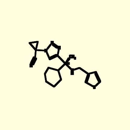 C[C@](NCc1ccsc1)(c1cn(C2(C#N)CC2)nn1)C1CCCCC1